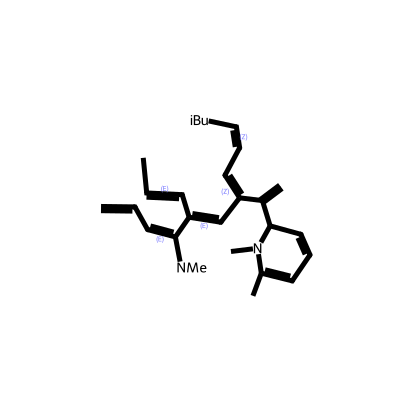 C=C\C=C(NC)/C(/C=C/C)=C/C(=C/C=C\C(C)CC)C(=C)C1C=CC=C(C)N1C